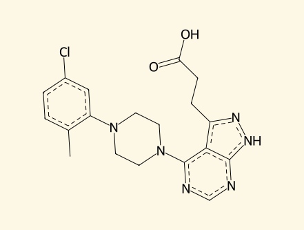 Cc1ccc(Cl)cc1N1CCN(c2ncnc3[nH]nc(CCC(=O)O)c23)CC1